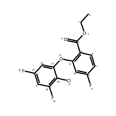 CCOC(=O)c1ccc(F)cc1Oc1cc(F)cc(F)c1Cl